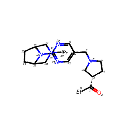 CCC(=O)[C@H]1CCN(Cc2cnc(N3C4CCC3CN(C(C)C)C4)nc2)C1